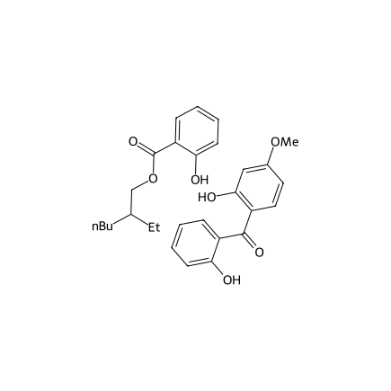 CCCCC(CC)COC(=O)c1ccccc1O.COc1ccc(C(=O)c2ccccc2O)c(O)c1